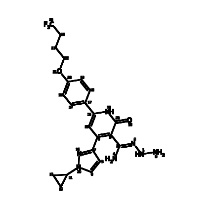 NN/N=C(\N)c1c(-c2ccn(C3CC3)n2)cc(-c2ccc(OCCCC(F)(F)F)cc2)[nH]c1=O